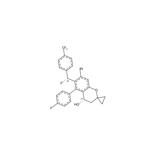 CC(C)c1cc2c(c(-c3ccc(F)cc3)c1[C@H](F)c1ccc(C(F)(F)F)cc1)[C@@H](O)CC1(CC1)O2